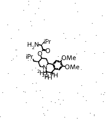 [2H]C1([2H])c2cc(OC)c(OC)cc2C2CC(OC(=O)[C@@H](N)C(C)C)C(CC(C)C)CN2C1([2H])[2H]